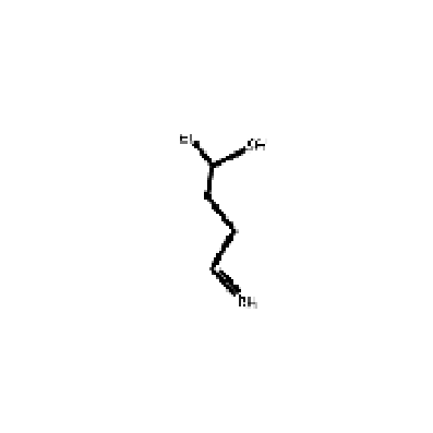 CCC(S)CCC=N